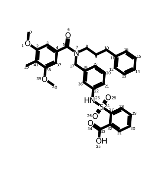 COc1cc(C(=O)N(CCCc2ccccc2)Cc2cccc(NS(=O)(=O)c3ccccc3C(=O)O)c2)cc(OC)c1C